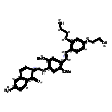 COc1cc(N/N=C2/C=Cc3cc(N)ccc3C2=O)c(OC)cc1/N=N/c1ccc(OCCO)cc1OCCO